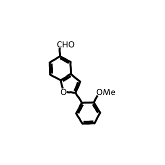 COc1ccccc1-c1cc2cc(C=O)ccc2o1